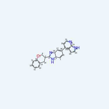 C1=CC2NC(C3COc4ccccc4C3)=NC2C=C1c1ccnc2[nH]ccc12